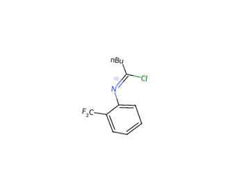 CCCC/C(Cl)=N/c1ccccc1C(F)(F)F